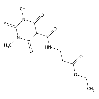 CCOC(=O)CCNC(=O)C1C(=O)N(C)C(=S)N(C)C1=O